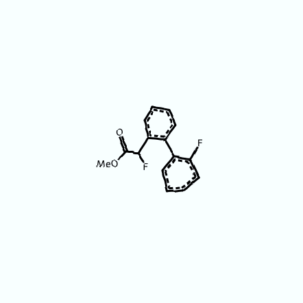 COC(=O)C(F)c1ccccc1-c1ccccc1F